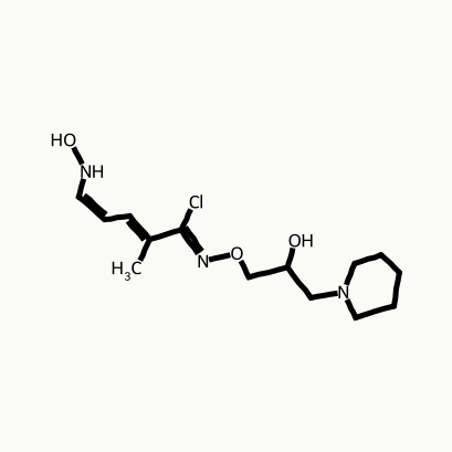 CC(=C\C=C/NO)/C(Cl)=N/OCC(O)CN1CCCCC1